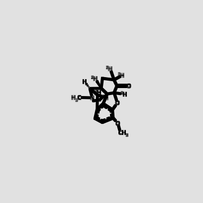 [2H]C1([2H])C[C@@]2([2H])[C@@H]3N(C)CC[C@@]24c2c(ccc(OC)c2OC4([2H])C1=O)C3([2H])[2H]